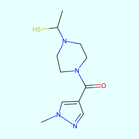 CC(S)N1CCN(C(=O)c2cnn(C)c2)CC1